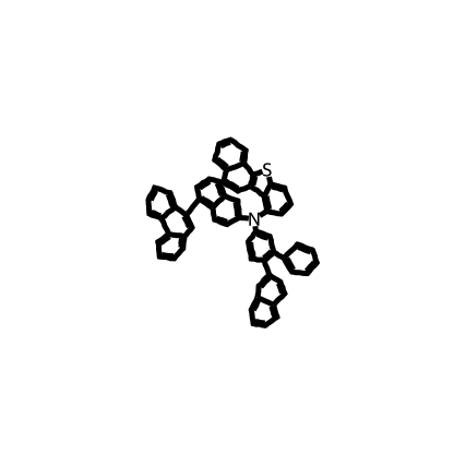 c1ccc(-c2cc(N(c3ccc4c(-c5cc6ccccc6c6ccccc56)cccc4c3)c3cccc4sc5c6ccccc6ccc5c34)ccc2-c2ccc3ccccc3c2)cc1